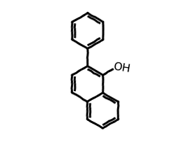 Oc1c(-c2ccccc2)ccc2ccccc12